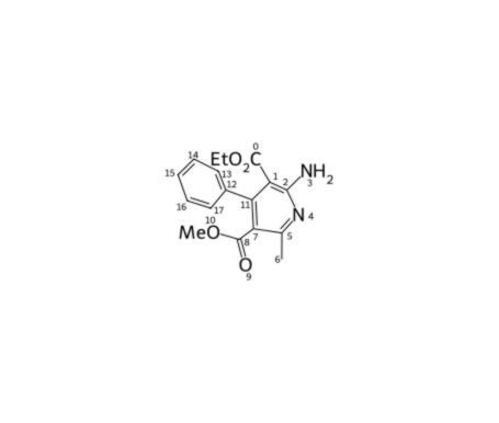 CCOC(=O)c1c(N)nc(C)c(C(=O)OC)c1-c1ccccc1